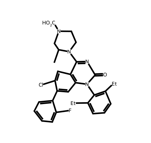 CCc1cccc(CC)c1-n1c(=O)nc(N2CCN(C(=O)O)CC2C)c2cc(Cl)c(-c3ccccc3F)cc21